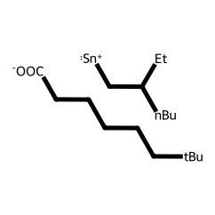 CC(C)(C)CCCCCC(=O)[O-].CCCCC(CC)[CH2][Sn+]